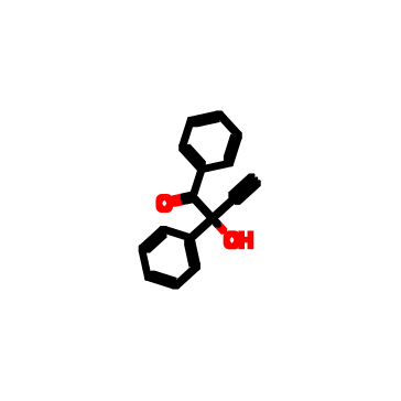 C#CC(O)(C(=O)c1ccccc1)c1ccccc1